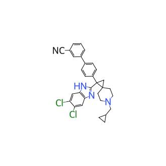 N#Cc1cccc(-c2ccc(C3(c4nc5cc(Cl)c(Cl)cc5[nH]4)CC34CCN(CC3CC3)CC4)cc2)c1